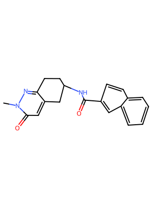 Cn1nc2c(cc1=O)CC(NC(=O)c1ccc3ccccc3c1)CC2